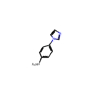 CC(=O)Nc1ccc(-n2ccnc2)cc1